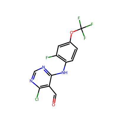 O=Cc1c(Cl)ncnc1Nc1ccc(OC(F)(F)F)cc1F